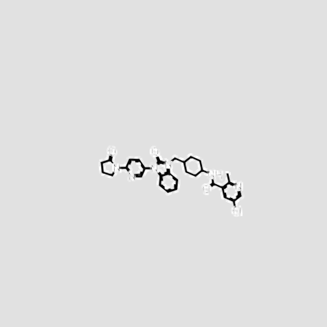 Cc1ncc(Cl)cc1C(=O)NC1CCC(Cn2c(=O)n(-c3ccc(N4CCCC4=O)nc3)c3ccccc32)CC1